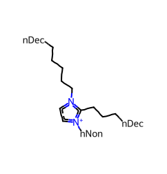 CCCCCCCCCCCCCCCn1cc[n+](CCCCCCCCC)c1CCCCCCCCCCCCC